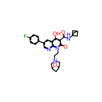 O=C(NC12CC(C1)C2)c1c(O)c2cc(-c3ccc(F)cc3)cnc2n(CCN2CC3CC(C2)O3)c1=O